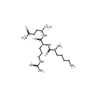 N=C(N)NCCC[C@H](NC(=O)[C@@H](N)CCCCN)C(=O)N[C@@H](CCC(N)=O)C(=O)O